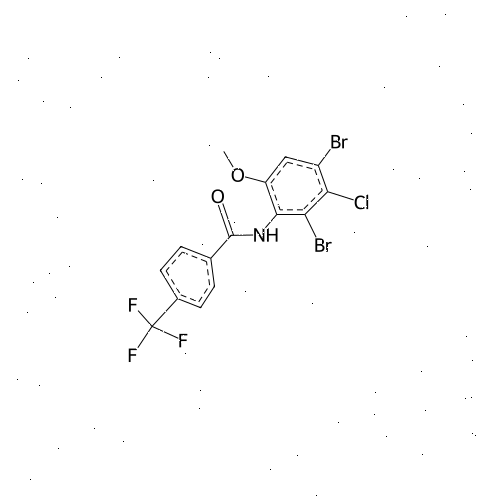 COc1cc(Br)c(Cl)c(Br)c1NC(=O)c1ccc(C(F)(F)F)cc1